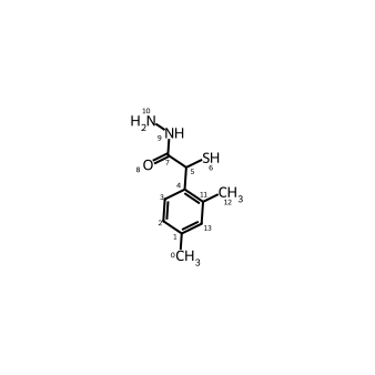 Cc1ccc(C(S)C(=O)NN)c(C)c1